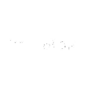 CC1(COCCCCCOc2ccc(C(=O)Oc3ccc(OC(F)(F)F)c(F)c3)cc2)COC1